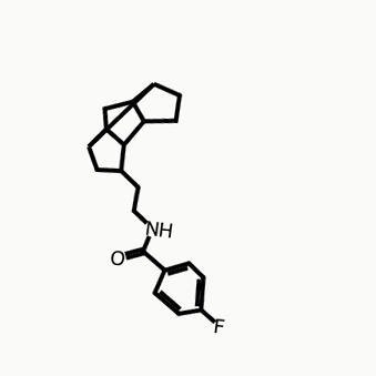 O=C(NCCC1CC2C3CCC4C3CC2C14)c1ccc(F)cc1